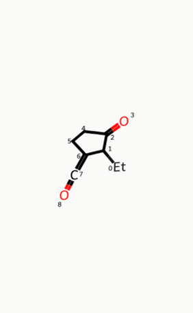 CCC1C(=O)CCC1=C=O